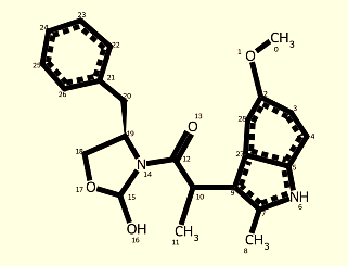 COc1ccc2[nH]c(C)c(C(C)C(=O)N3C(O)OC[C@H]3Cc3ccccc3)c2c1